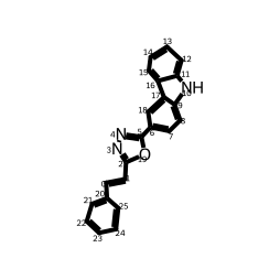 C(=Cc1nnc(-c2ccc3[nH]c4ccccc4c3c2)o1)c1ccccc1